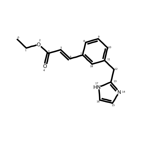 CCOC(=O)C=Cc1cccc(Cc2ncc[nH]2)c1